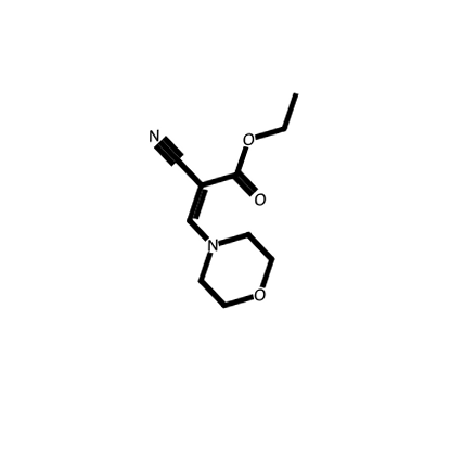 CCOC(=O)C(C#N)=CN1CCOCC1